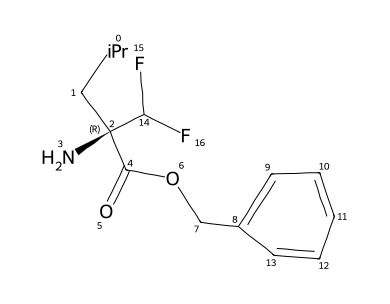 CC(C)C[C@@](N)(C(=O)OCc1ccccc1)C(F)F